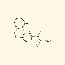 CON(C)C(=O)c1ccc(F)c(-c2c(F)cccc2F)n1